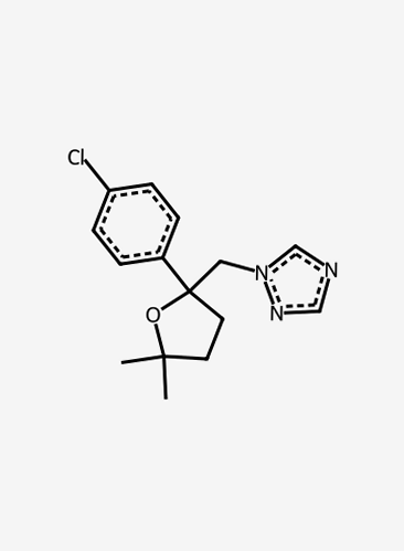 CC1(C)CCC(Cn2cncn2)(c2ccc(Cl)cc2)O1